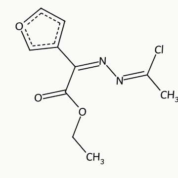 CCOC(=O)C(=NN=C(C)Cl)c1ccoc1